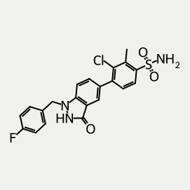 Cc1c(S(N)(=O)=O)ccc(-c2ccc3c(c2)c(=O)[nH]n3Cc2ccc(F)cc2)c1Cl